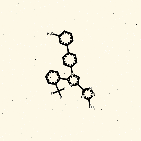 Cc1cccc(-c2ccc(-n3cc(-c4nnc(C)o4)nc3-c3ccccc3C(F)(F)F)cc2)c1